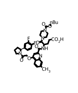 CCCCOC(=O)N1CCN(C(=O)C(CCC(=O)O)NC(=O)c2cc(OCC(=O)N3CCC[C@H]3c3ccc(F)c(F)c3)c3ccc(C)cc3n2)CC1